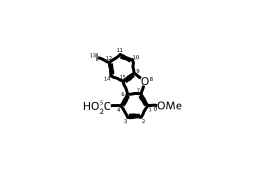 COc1ccc(C(=O)O)c2c1oc1ccc(I)cc12